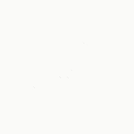 NCCCc1cn(CCCN)nn1